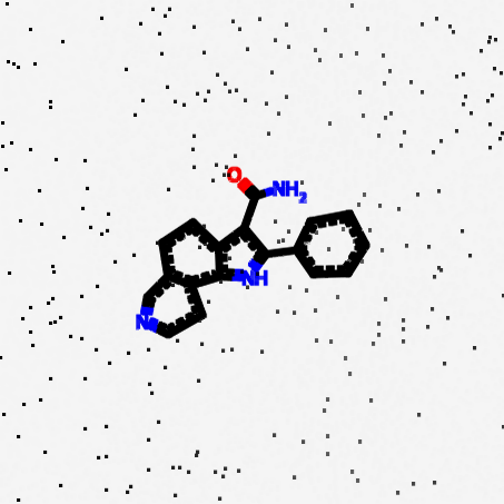 NC(=O)c1c(-c2ccccc2)[nH]c2c1ccc1cnccc12